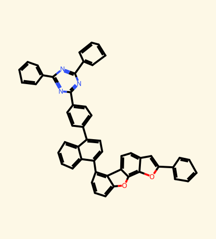 c1ccc(-c2nc(-c3ccccc3)nc(-c3ccc(-c4ccc(-c5cccc6oc7c(ccc8cc(-c9ccccc9)oc87)c56)c5ccccc45)cc3)n2)cc1